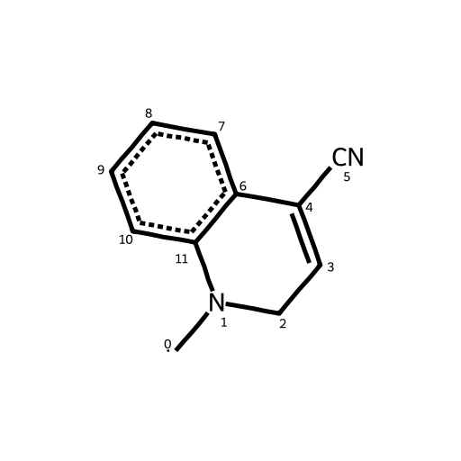 [CH2]N1CC=C(C#N)c2ccccc21